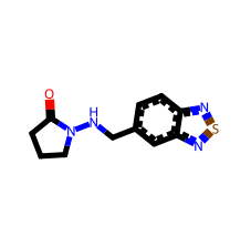 O=C1CCCN1NCc1ccc2nsnc2c1